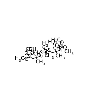 CO[Si](CC(C)(C)CS[Si](C)(C)SCC(C)(C)C[Si](OC)(OC)OC)(OC)OC